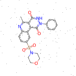 Cc1nc2ccc(S(=O)(=O)N3CCOCC3)cc2c2c(=O)n(-c3ccccc3)[nH]c(=O)c12